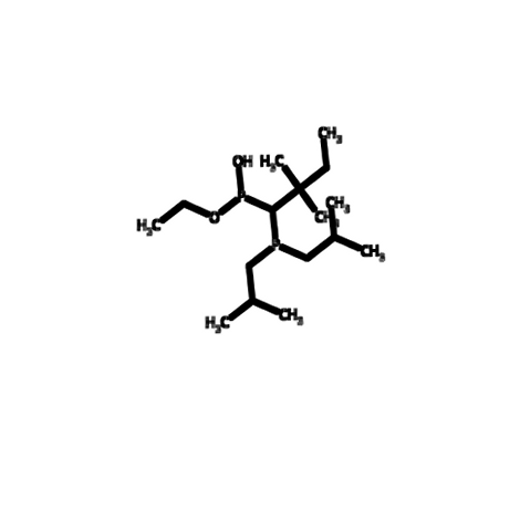 CCOP(O)C(P(CC(C)C)CC(C)C)C(C)(C)CC